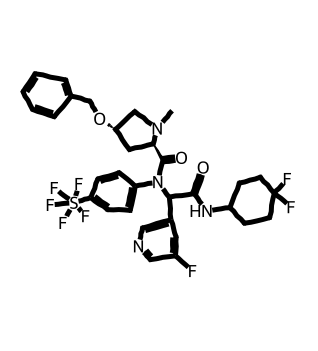 CN1C[C@@H](OCc2ccccc2)C[C@@H]1C(=O)N(c1ccc(S(F)(F)(F)(F)F)cc1)C(C(=O)NC1CCC(F)(F)CC1)c1cncc(F)c1